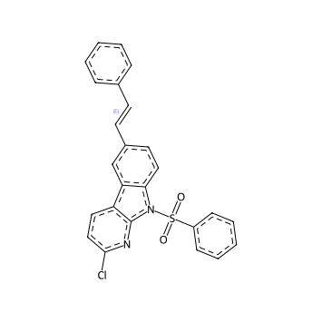 O=S(=O)(c1ccccc1)n1c2ccc(/C=C/c3ccccc3)cc2c2ccc(Cl)nc21